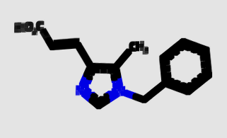 CCOC(=O)/C=C/c1ncn(Cc2ccccc2)c1C